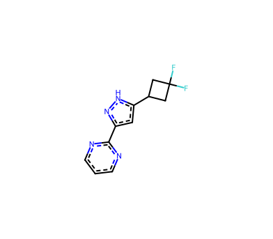 FC1(F)CC(c2cc(-c3ncccn3)n[nH]2)C1